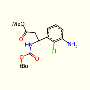 COC(=O)C[C@](C)(NC(=O)OC(C)(C)C)c1cccc(N)c1Cl